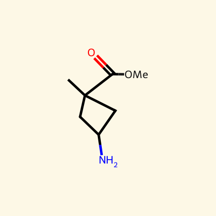 COC(=O)C1(C)CC(N)C1